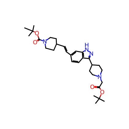 CC(C)(C)OC(=O)CN1CCC(c2n[nH]c3cc(C=CC4CCN(C(=O)OC(C)(C)C)CC4)ccc23)CC1